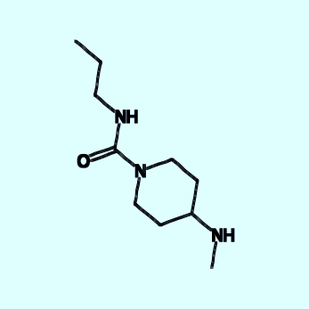 CCCNC(=O)N1CCC(NC)CC1